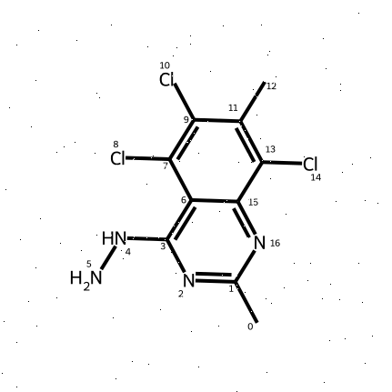 Cc1nc(NN)c2c(Cl)c(Cl)c(C)c(Cl)c2n1